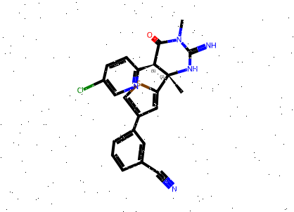 CN1C(=N)N[C@](C)(c2cc(-c3cccc(C#N)c3)cs2)[C@@H](c2ccc(Cl)cn2)C1=O